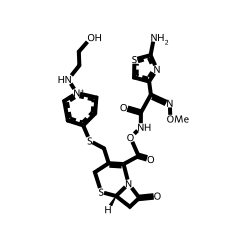 CO/N=C(\C(=O)NOC(=O)C1=C(CSc2cc[n+](NCCO)cc2)CS[C@H]2CC(=O)N12)c1csc(N)n1